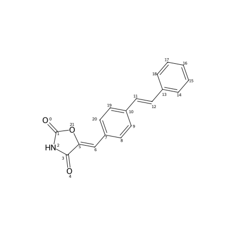 O=C1NC(=O)C(=Cc2ccc(C=Cc3ccccc3)cc2)O1